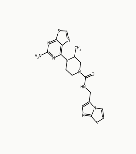 CC1CN(C(=O)NCc2cnc3sccn23)CCN1c1nc(N)nc2scnc12